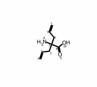 C=CCC(N)(CC=C)C(=O)O